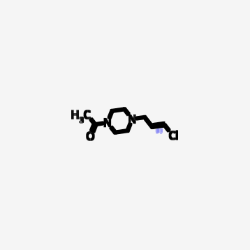 CC(=O)N1CCN(C/C=C/Cl)CC1